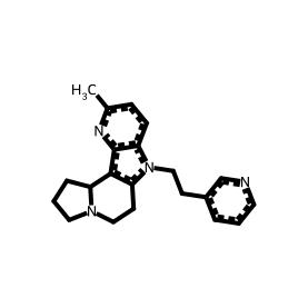 Cc1ccc2c(n1)c1c(n2CCc2cccnc2)CCN2CCCC12